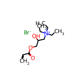 C=CC(=O)OCC(O)C[N+](CC)(CC)CC.[Br-]